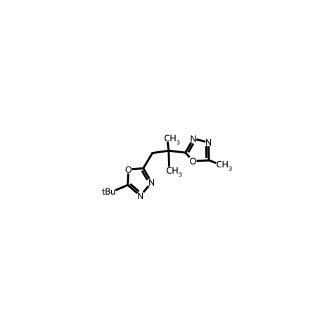 Cc1nnc(C(C)(C)Cc2nnc(C(C)(C)C)o2)o1